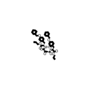 C=CCOC(=O)[C@H](Cc1ccc(OCc2ccccc2)cc1)NC(=O)[C@H]1O[C@@H]1C(=O)N[C@@H](Cc1ccc(OCc2ccccc2)cc1)C(=O)OCC=C